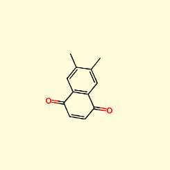 Cc1cc2c(cc1C)C(=O)C=CC2=O